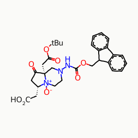 CC(C)(C)OC(=O)C[C@]12CN(NC(=O)OCC3c4ccccc4-c4ccccc43)CC[N+]1([O-])[C@H](CC(=O)O)CC2=O